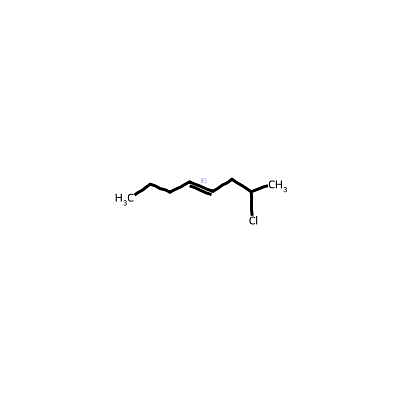 CCC/C=C/CC(C)Cl